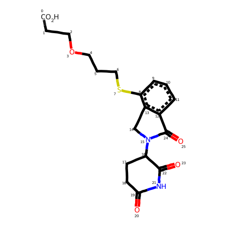 O=C(O)CCOCCCSc1cccc2c1CN(C1CCC(=O)NC1=O)C2=O